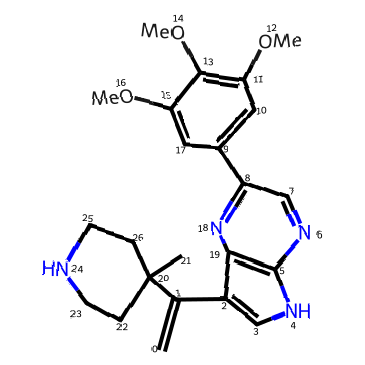 C=C(c1c[nH]c2ncc(-c3cc(OC)c(OC)c(OC)c3)nc12)C1(C)CCNCC1